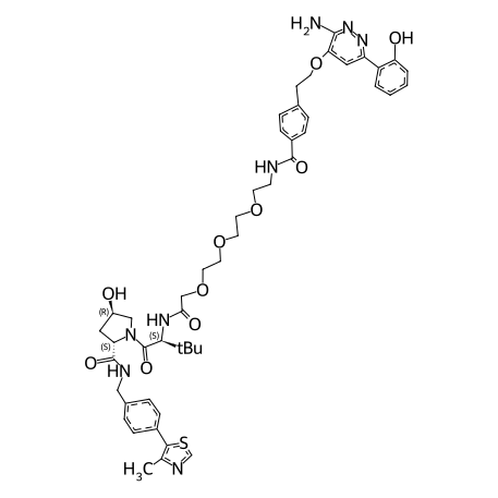 Cc1ncsc1-c1ccc(CNC(=O)[C@@H]2C[C@@H](O)CN2C(=O)[C@@H](NC(=O)COCCOCCOCCNC(=O)c2ccc(CCOc3cc(-c4ccccc4O)nnc3N)cc2)C(C)(C)C)cc1